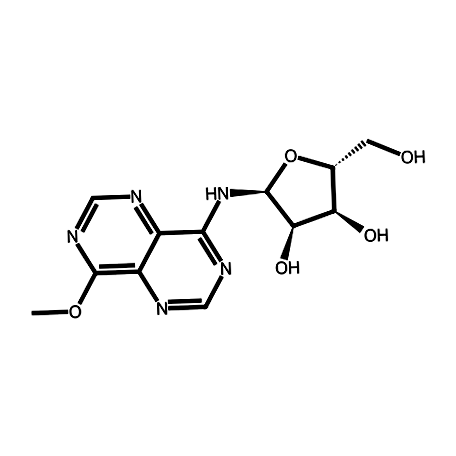 COc1ncnc2c(N[C@H]3O[C@H](CO)[C@@H](O)[C@H]3O)ncnc12